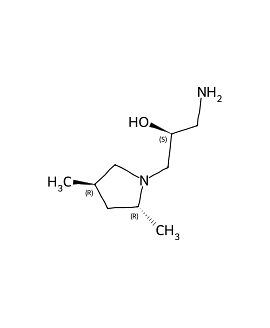 C[C@@H]1C[C@@H](C)N(C[C@@H](O)CN)C1